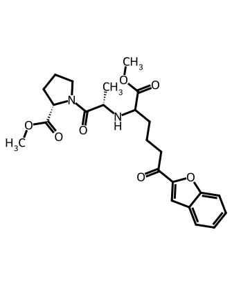 COC(=O)C(CCCC(=O)c1cc2ccccc2o1)N[C@@H](C)C(=O)N1CCC[C@H]1C(=O)OC